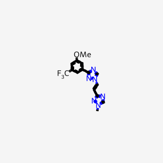 COc1cc(-c2ncn(C=Cc3ncn(C)n3)n2)cc(C(F)(F)F)c1